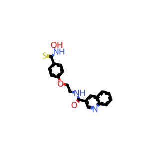 O=C(NCCOc1ccc(C(=S)NO)cc1)c1cnc2ccccc2c1